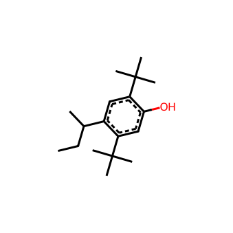 CCC(C)c1cc(C(C)(C)C)c(O)cc1C(C)(C)C